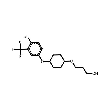 OCCCOC1CCC(Oc2ccc(Br)c(C(F)(F)F)c2)CC1